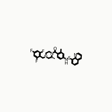 Cc1cc(NSc2cccc3cccnc23)ccc1C(=O)N1CCN(Cc2c(F)cc(F)cc2F)C[C@@H]1C